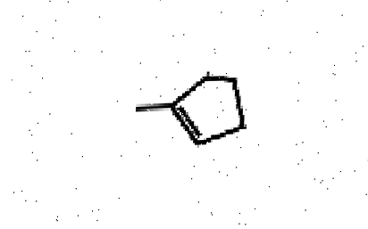 CC1=CCC[CH]1